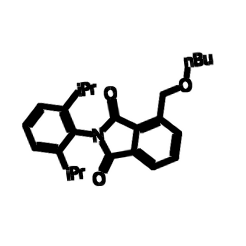 CCCCOCc1cccc2c1C(=O)N(c1c(C(C)C)cccc1C(C)C)C2=O